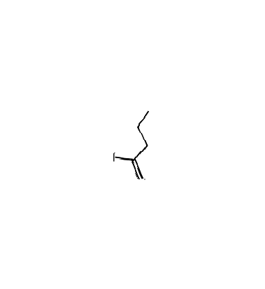 [CH]=C(I)CCC